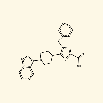 NC(=O)c1cn(Cc2ncccn2)c(C2CCN(c3snc4ccccc34)CC2)n1